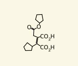 O=C(CC(C(=O)O)=C(C(=O)O)C1CCCC1)OC1CCCC1